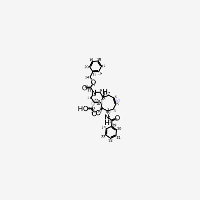 O=C(N[C@H]1C/C=C\C[C@H]2CN(C(=O)OCc3ccccc3)C[C@@H](C(=O)O)N2C1=O)c1ccccc1